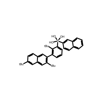 CC(C)(C)c1ccc2cc(-c3cccc(P(O)(O)(O)c4ccc5ccccc5c4)c3C(C)(C)C)c(C(C)(C)C)cc2c1